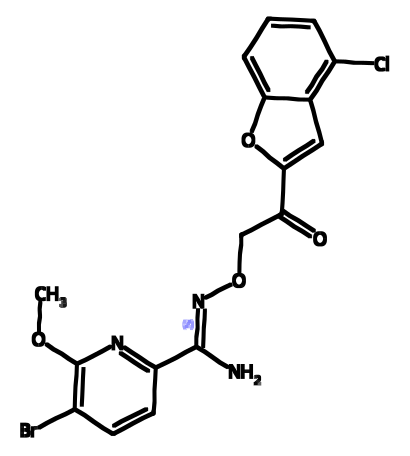 COc1nc(/C(N)=N/OCC(=O)c2cc3c(Cl)cccc3o2)ccc1Br